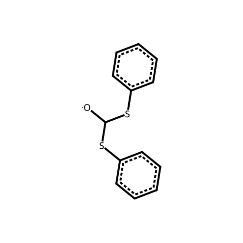 [O]C(Sc1ccccc1)Sc1ccccc1